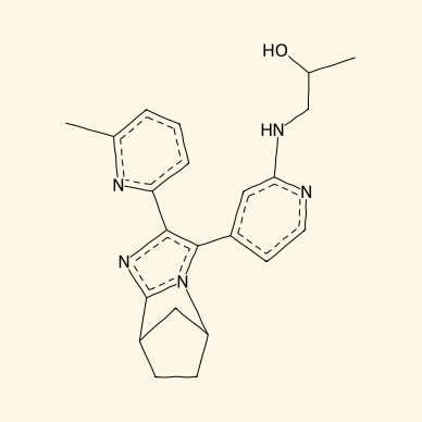 Cc1cccc(-c2nc3n(c2-c2ccnc(NCC(C)O)c2)C2CCC3C2)n1